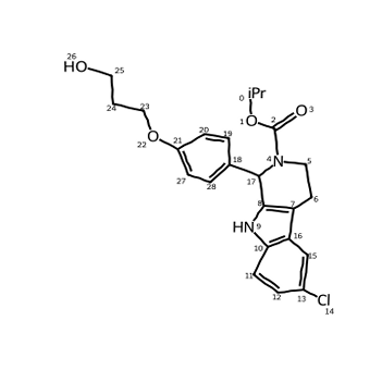 CC(C)OC(=O)N1CCc2c([nH]c3ccc(Cl)cc23)C1c1ccc(OCCCO)cc1